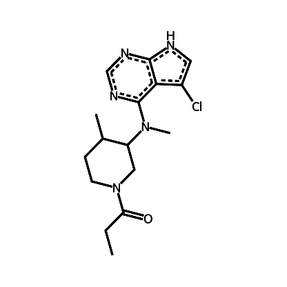 CCC(=O)N1CCC(C)C(N(C)c2ncnc3[nH]cc(Cl)c23)C1